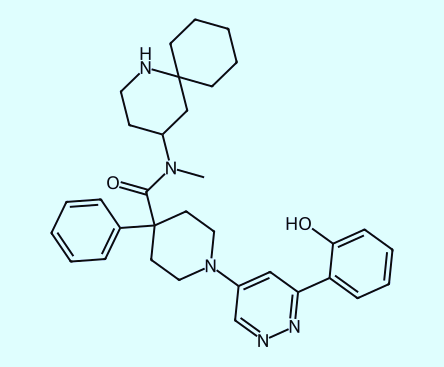 CN(C(=O)C1(c2ccccc2)CCN(c2cnnc(-c3ccccc3O)c2)CC1)C1CCNC2(CCCCC2)C1